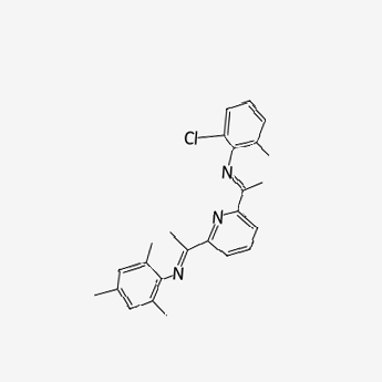 CC(=Nc1c(C)cc(C)cc1C)c1cccc(C(C)=Nc2c(C)cccc2Cl)n1